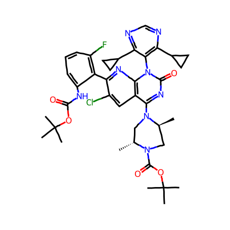 C[C@@H]1CN(c2nc(=O)n(-c3c(C4CC4)ncnc3C3CC3)c3nc(-c4c(F)cccc4NC(=O)OC(C)(C)C)c(Cl)cc23)[C@@H](C)CN1C(=O)OC(C)(C)C